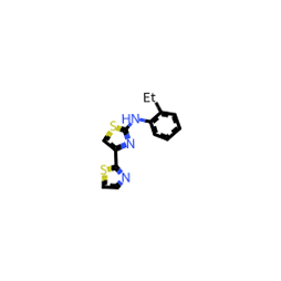 CCc1ccccc1Nc1nc(-c2nccs2)cs1